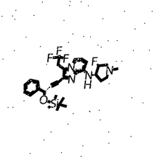 CN1CC[C@@H](Nc2cccn3c(CC(F)(F)F)c(C#C[C@H](O[Si](C)(C)C(C)(C)C)c4ccccc4)nc23)[C@@H](F)C1